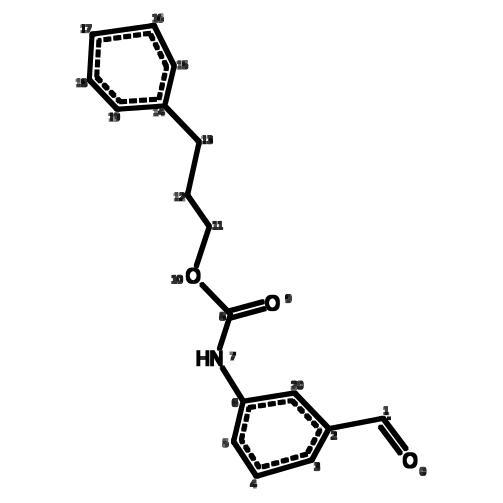 O=[C]c1cccc(NC(=O)OCCCc2ccccc2)c1